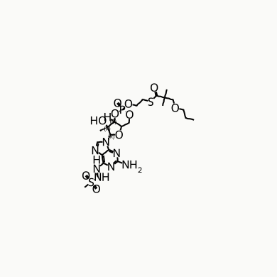 CCCOCC(C)(C)C(=O)SCCOP1(=O)OCC2O[C@@H](n3cnc4c(NNS(C)(=O)=O)nc(N)nc43)[C@](C)(O)[C@@H]2O1